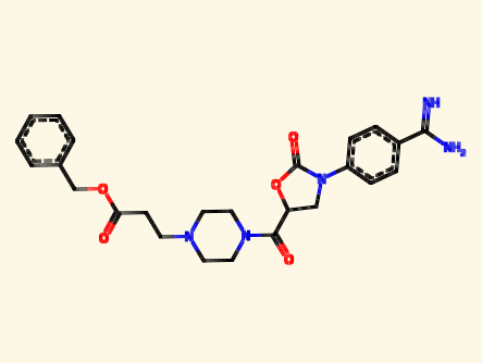 N=C(N)c1ccc(N2CC(C(=O)N3CCN(CCC(=O)OCc4ccccc4)CC3)OC2=O)cc1